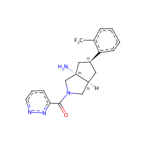 N[C@]12C[C@@H](c3ccccc3C(F)(F)F)C[C@H]1CN(C(=O)c1cccnn1)C2